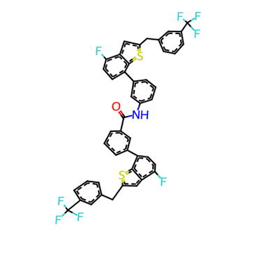 O=C(Nc1cccc(-c2ccc(F)c3cc(Cc4cccc(C(F)(F)F)c4)sc23)c1)c1cccc(-c2ccc(F)c3cc(Cc4cccc(C(F)(F)F)c4)sc23)c1